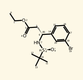 CCOC(=O)C[C@@H](N[S@@+]([O-])C(C)(C)C)c1cccc(Br)c1